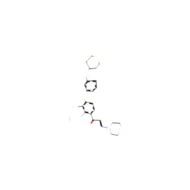 O=C(C=CN1CCOCC1)c1ccc(Sc2cccc(OC3CCSCC3)c2)c(C(F)(F)F)c1C(F)(F)F